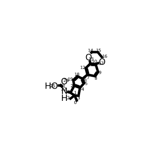 CC1(C)Cc2cc(-c3ccc4c(c3)OCCCO4)ccc2C1NC(=O)O